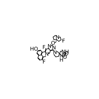 Cc1c(F)ccc2cc(O)cc(-c3ncc4c(N5CCCC6(CNS(=O)(=O)N6)C5)nc(OC[C@@]56CCCN5C[C@H](F)C6)nc4c3F)c12